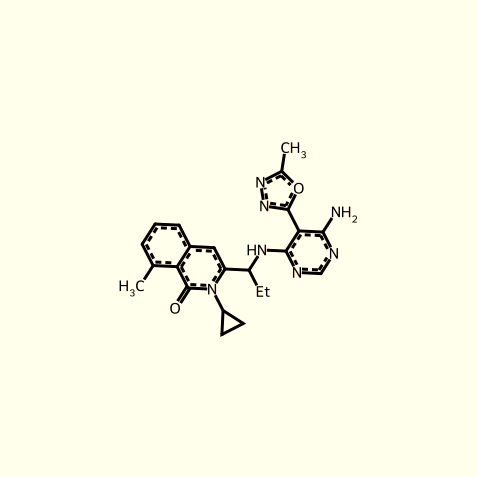 CCC(Nc1ncnc(N)c1-c1nnc(C)o1)c1cc2cccc(C)c2c(=O)n1C1CC1